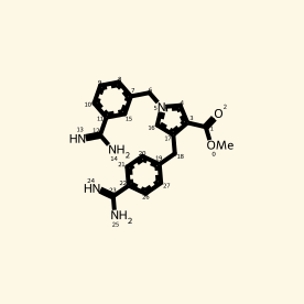 COC(=O)c1cn(Cc2cccc(C(=N)N)c2)cc1Cc1ccc(C(=N)N)cc1